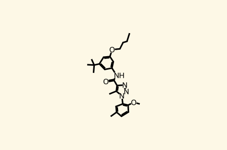 CCCCOc1cc(NC(=O)c2nnn(-c3cc(C)ccc3OC)c2C)cc(C(C)(C)C)c1